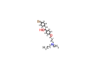 C=CCN(C)CC=CCOc1ccc([C@@H](O)Cc2ccc(Br)cc2)cc1